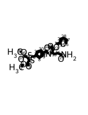 COC(=O)C1SC(c2ccc(C(=O)NC(CCC(N)=O)C(=O)OCc3ccccc3)cc2)SC1C(=O)OC